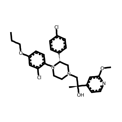 CCCOc1ccc(N2CCN(C[C@@](C)(O)c3ccnc(OC)c3)C[C@H]2c2ccc(Cl)cc2)c(Cl)c1